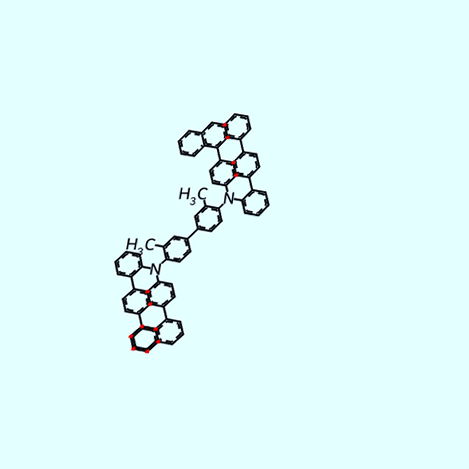 Cc1cc(-c2ccc(N(c3ccc(-c4cccc5ccccc45)cc3)c3ccccc3-c3ccc(-c4ccccc4)cc3)c(C)c2)ccc1N(c1ccc(-c2cccc3ccccc23)cc1)c1ccccc1-c1ccc(-c2ccccc2)cc1